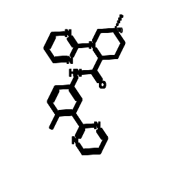 Cc1ccc(NC(=O)C2CC[C@@H](C)CN2c2ncccn2)cc1-c1ncccn1